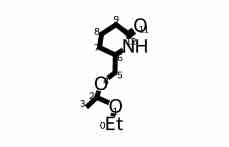 CCOC(C)OCC1CCCC(=O)N1